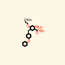 COCCOc1ccc(C(=O)P(=O)(O)O)cc1Cc1ccc(Oc2ccccc2)cc1